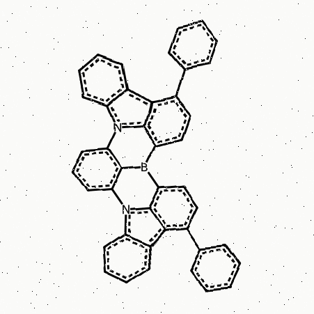 c1ccc(-c2ccc3c4c2c2ccccc2n4-c2cccc4c2B3c2ccc(-c3ccccc3)c3c5ccccc5n-4c23)cc1